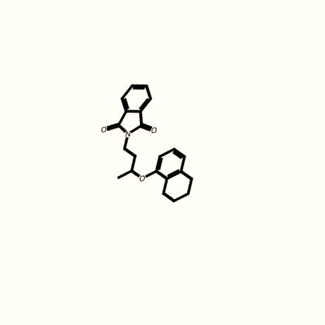 CC(CCN1C(=O)c2ccccc2C1=O)Oc1cccc2c1CCCC2